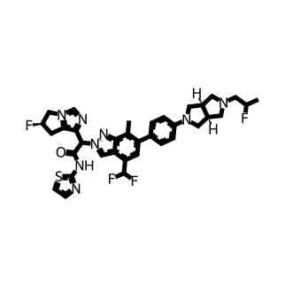 Cc1c(-c2ccc(N3C[C@H]4CN(CC(C)F)C[C@H]4C3)cc2)cc(C(F)F)c2cn(C(C(=O)Nc3nccs3)c3ncn4c3C[C@@H](F)C4)nc12